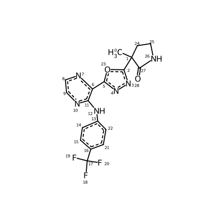 CC1(c2nnc(-c3nccnc3Nc3ccc(C(F)(F)F)cc3)o2)CCNC1=O